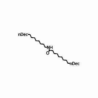 CCCCCCCCCCCCCCCCCCNC(=O)CCCCCCCCCCCCCCCCCC